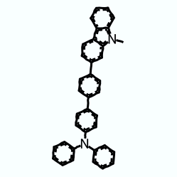 Cn1c2ccccc2c2ccc(-c3ccc(-c4ccc(N(c5ccccc5)c5ccccc5)cc4)cc3)cc21